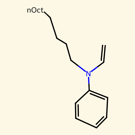 C=CN(CCCCCCCCCCCC)c1ccccc1